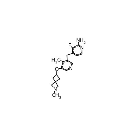 Cc1c(Cc2ccnc(N)c2F)cncc1OC1CC2(C1)CN(C)C2